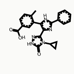 Cc1ccc(C(=O)O)cc1-c1[nH]c(-c2ccccc2)nc1-c1n[nH]c(=O)n1C1CC1